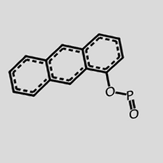 O=POc1cccc2cc3ccccc3cc12